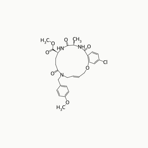 COC(=O)[C@@H]1CCC(=O)N(Cc2ccc(OC)cc2)C/C=C/COc2cc(Cl)ccc2C(=O)N[C@H](C)C(=O)N1